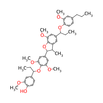 CCCc1ccc(OC(CC)c2cc(OC)c3c(c2)C(C)C(c2cc(OC)c(OC(CC)c4ccc(O)c(OC)c4)c(OC)c2)O3)c(OC)c1